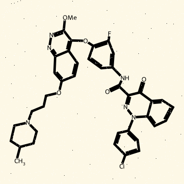 COc1nnc2cc(OCCCN3CCC(C)CC3)ccc2c1Oc1ccc(NC(=O)c2nn(-c3ccc(Cl)cc3)c3ccccc3c2=O)cc1F